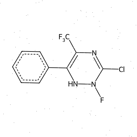 FN1NC(c2ccccc2)=C(C(F)(F)F)N=C1Cl